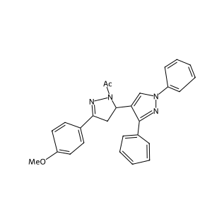 COc1ccc(C2=NN(C(C)=O)C(c3cn(-c4ccccc4)nc3-c3ccccc3)C2)cc1